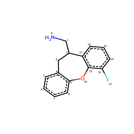 NCC1Cc2ccccc2Oc2c(F)cccc21